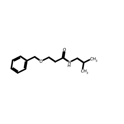 CC(C)CNC(=O)[CH]COCc1ccccc1